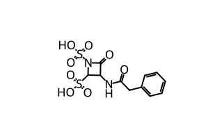 O=C(Cc1ccccc1)NC1C(=O)N(S(=O)(=O)O)C1S(=O)(=O)O